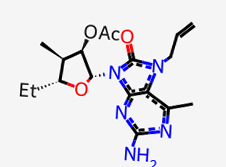 C=CCn1c(=O)n([C@@H]2O[C@H](CC)[C@@H](C)[C@H]2OC(C)=O)c2nc(N)nc(C)c21